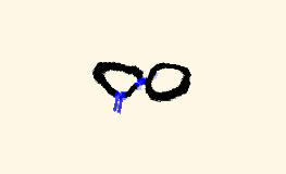 C1=[N+](\C2=C\CCCCCCCCC2)CCCCCCCNC/1